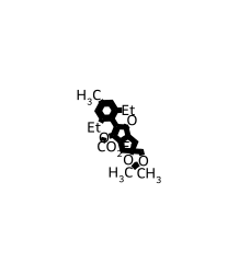 CCOC(=O)OC1=C(c2c(CC)cc(C)cc2CC)C(=O)C2CC3(COC(C)(C)O3)CC12